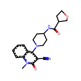 Cn1c(=O)c(C#N)c(N2CCC(NC(=O)C3CCOC3)CC2)c2ccccc21